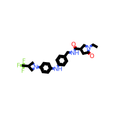 CCN1CC(C(=O)NCc2ccc(Nc3ccc(N4CC(C(F)(F)F)C4)cc3)cc2)CC1=O